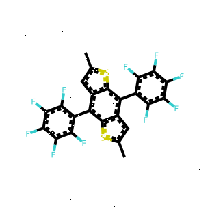 Cc1cc2c(-c3c(F)c(F)c(F)c(F)c3F)c3sc(C)cc3c(-c3c(F)c(F)c(F)c(F)c3F)c2s1